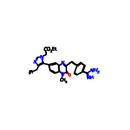 CCOC(=O)Cn1cnc(CC(C)C)c1-c1ccc2c(c1)nc(Cc1ccc(C(=N)N)cc1)c(=O)n2C